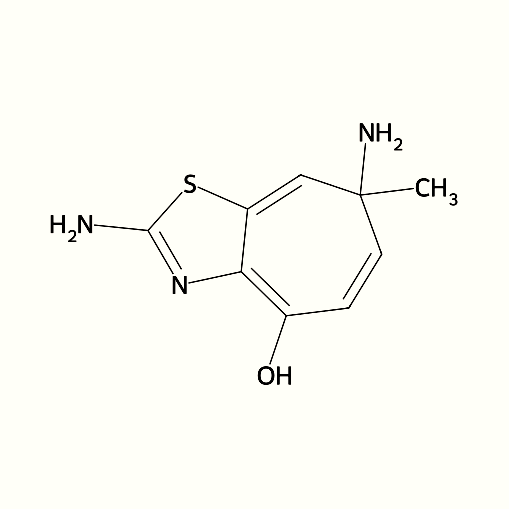 CC1(N)C=CC(O)=c2nc(N)sc2=C1